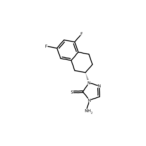 Nn1cnn([C@H]2CCc3c(F)cc(F)cc3C2)c1=S